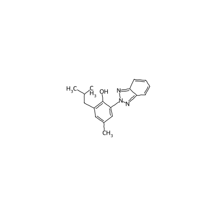 Cc1cc(CC(C)C)c(O)c(-n2nc3ccccc3n2)c1